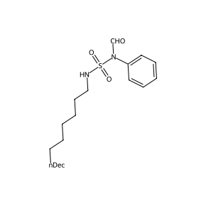 CCCCCCCCCCCCCCCCNS(=O)(=O)N(C=O)c1ccccc1